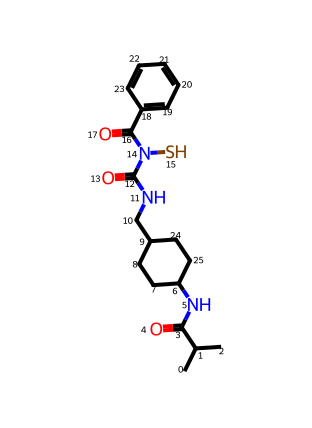 CC(C)C(=O)NC1CCC(CNC(=O)N(S)C(=O)c2ccccc2)CC1